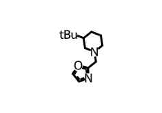 CC(C)(C)C1CCCN(Cc2ncco2)C1